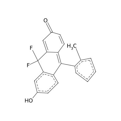 Cc1ccccc1C1=C2C=CC(=O)C=C2C(F)(F)c2cc(O)ccc21